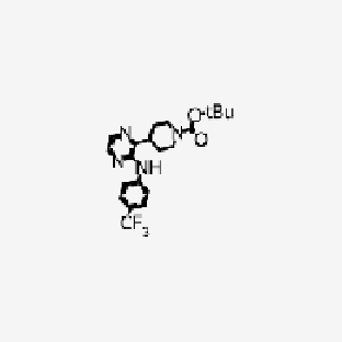 CC(C)(C)OC(=O)N1CCC(c2nccnc2Nc2ccc(C(F)(F)F)cc2)CC1